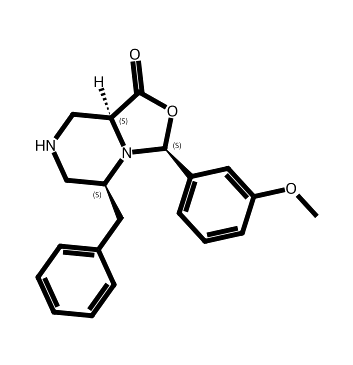 COc1cccc([C@@H]2OC(=O)[C@@H]3CNC[C@H](Cc4ccccc4)N32)c1